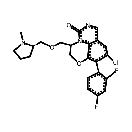 CN1CCC[C@@H]1COCC1COc2c(-c3ccc(F)cc3F)c(Cl)cc3cnc(=O)n1c23